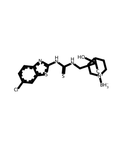 [BH3-][N+]12CCC(CC1)C(O)(CNC(=S)Nc1nc3ccc(Cl)cc3s1)C2